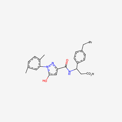 Cc1ccc(C)c(-n2nc(C(=O)NC(CC(=O)O)c3ccc(CC(C)C)cc3)cc2O)c1